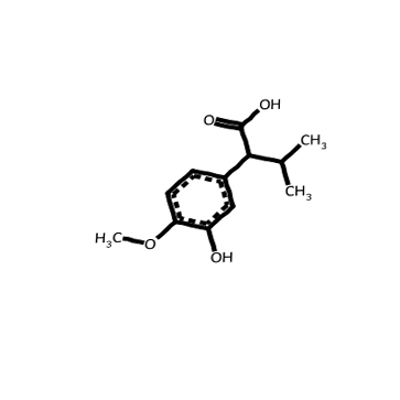 COc1ccc(C(C(=O)O)C(C)C)cc1O